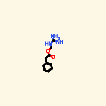 N=C(N)NCOC(=O)Cc1ccccc1